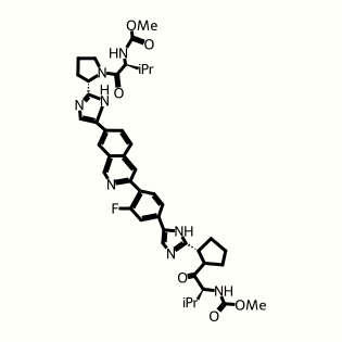 COC(=O)N[C@H](C(=O)C1CCC[C@H]1c1ncc(-c2ccc(-c3cc4ccc(-c5cnc([C@@H]6CCCN6C(=O)[C@@H](NC(=O)OC)C(C)C)[nH]5)cc4cn3)c(F)c2)[nH]1)C(C)C